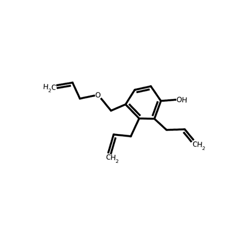 C=CCOCc1ccc(O)c(CC=C)c1CC=C